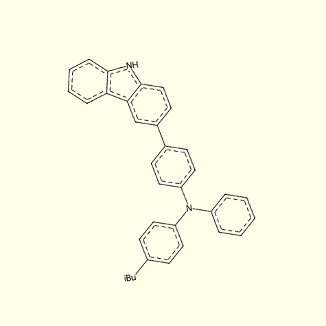 CCC(C)c1ccc(N(c2ccccc2)c2ccc(-c3ccc4[nH]c5ccccc5c4c3)cc2)cc1